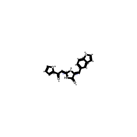 O=C(/C=c1\[nH]c(=O)/c(=C/c2ccc3occc3c2)s1)c1ccco1